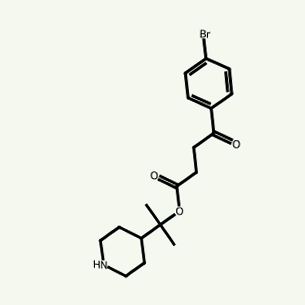 CC(C)(OC(=O)CCC(=O)c1ccc(Br)cc1)C1CCNCC1